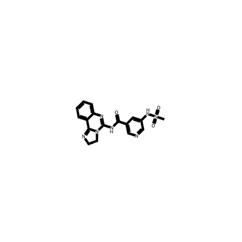 CS(=O)(=O)Nc1cncc(C(=O)NC2=Nc3ccccc3C3=NCCN23)c1